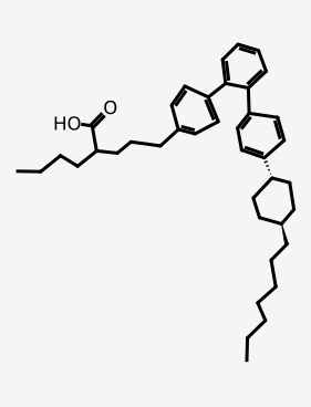 CCCCCCC[C@H]1CC[C@H](c2ccc(-c3ccccc3-c3ccc(CCCC(CCCC)C(=O)O)cc3)cc2)CC1